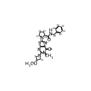 COC1CN(c2nc3sc(N4CCCC4C(=O)NCc4ccccc4)nc3c(=O)n2C)C1